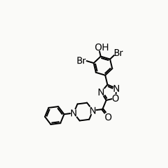 O=C(c1nc(-c2cc(Br)c(O)c(Br)c2)no1)N1CCN(c2ccccc2)CC1